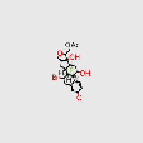 CC(=O)OCC(=O)[C@@]1(O)C(C)C[C@H]2[C@@H]3C(Br)CC4=CC(=O)C=C[C@]4(C)[C@@]3(F)C(O)C[C@@]21C